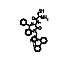 CN(C(=O)C(N)CS)C1N=C(c2ccccc2)c2ccccc2N(CN2C=NNN2c2ccccc2-c2ccccc2)C1=O